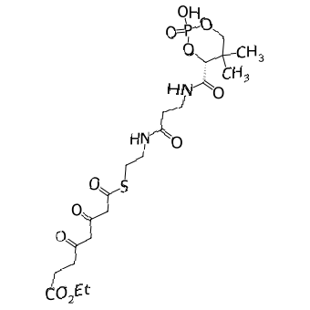 CCOC(=O)CCC(=O)CC(=O)CC(=O)SCCNC(=O)CCNC(=O)[C@@H]1OP(=O)(O)OCC1(C)C